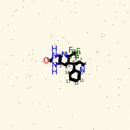 O=c1[nH]c2cc(-c3ccnc4ccccc34)c(C(F)(F)F)nc2[nH]1